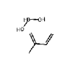 C=CC(=C)C.OBO